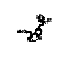 CCO[Si](CCC1CCC(O)C(N(CCOC)CCOC)C1)(OCC)OCC